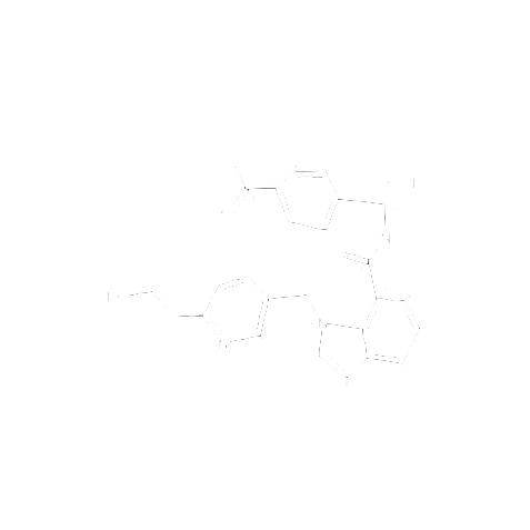 CCOc1ccc(Cn2ccc3cccc(C(=O)N[C@@H](C)c4ccc(C(=O)O)cc4)c32)cn1